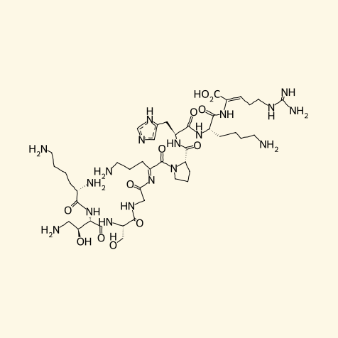 N=C(N)NCC/C=C(\NC(=O)[C@H](CCCCN)NC(=O)[C@H](Cc1cnc[nH]1)NC(=O)[C@@H]1CCCN1C(=O)/C(CCCN)=N/C(=O)CNC(=O)[C@H](CO)NC(=O)[C@@H](NC(=O)[C@@H](N)CCCCN)[C@@H](O)CN)C(=O)O